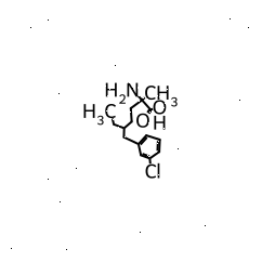 CCC(CCC(C)(N)C(=O)O)Cc1cccc(Cl)c1